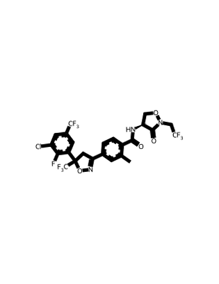 Cc1cc(C2=NOC(c3cc(C(F)(F)F)cc(Cl)c3F)(C(F)(F)F)C2)ccc1C(=O)N[C@H]1CON(CC(F)(F)F)C1=O